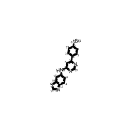 CC(C)(C)c1ccc(-c2cc(Nc3ccc4ncsc4c3)ncn2)cc1